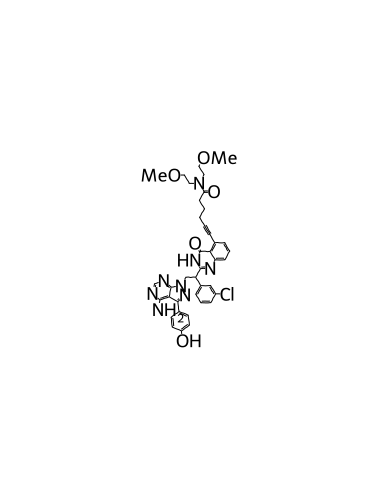 COCCN(CCOC)C(=O)CCCC#Cc1cccc2nc(C(Cn3nc(-c4ccc(O)cc4)c4c(N)ncnc43)c3cccc(Cl)c3)[nH]c(=O)c12